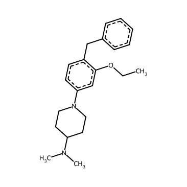 CCOc1cc(N2CCC(N(C)C)CC2)ccc1Cc1ccccc1